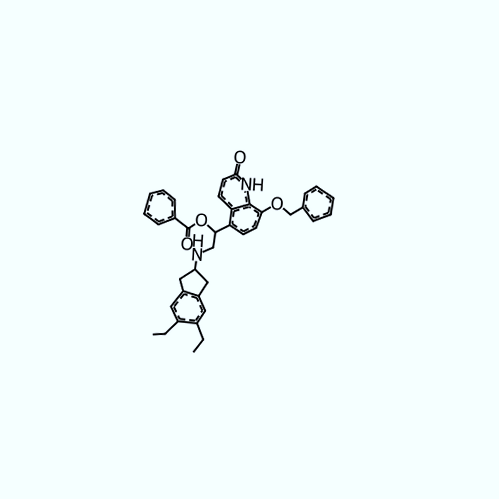 CCc1cc2c(cc1CC)CC(NCC(OC(=O)c1ccccc1)c1ccc(OCc3ccccc3)c3[nH]c(=O)ccc13)C2